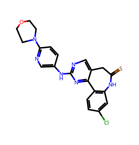 S=C1Cc2cnc(Nc3ccc(N4CCOCC4)nc3)nc2-c2ccc(Cl)cc2N1